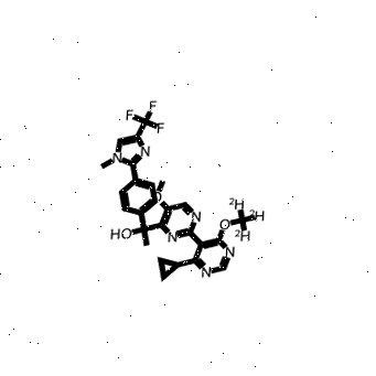 [2H]C([2H])([2H])Oc1ncnc(C2CC2)c1-c1ncc(OC)c(C(C)(O)c2ccc(-c3nc(C(F)(F)F)cn3C)cc2)n1